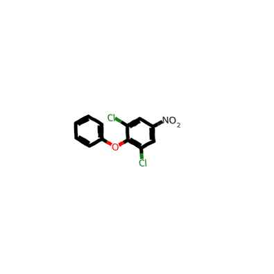 O=[N+]([O-])c1cc(Cl)c(Oc2ccccc2)c(Cl)c1